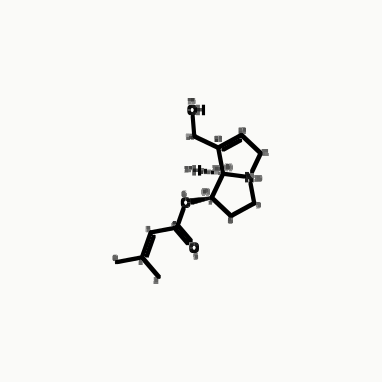 CC(C)=CC(=O)O[C@@H]1CCN2CC=C(CO)[C@H]12